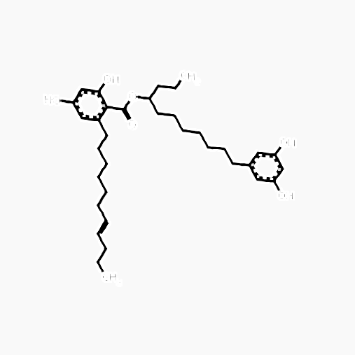 CCC/C=C/CCCCCCc1cc(O)cc(O)c1C(=O)OC(CCC)CCCCCCCc1cc(O)cc(O)c1